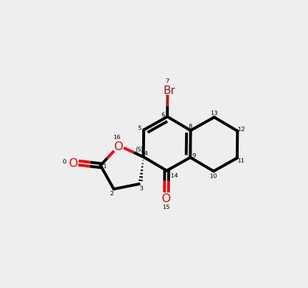 O=C1CC[C@@]2(C=C(Br)C3=C(CCCC3)C2=O)O1